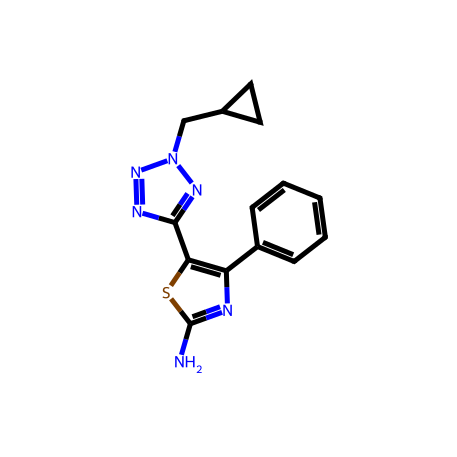 Nc1nc(-c2ccccc2)c(-c2nnn(CC3CC3)n2)s1